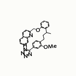 COc1cc(-c2nnn[nH]2)ccc1CCC(C)c1ccccc1OCc1ccc2ccccc2n1